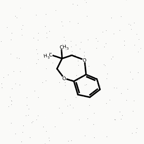 CC1(C)COc2ccccc2OC1